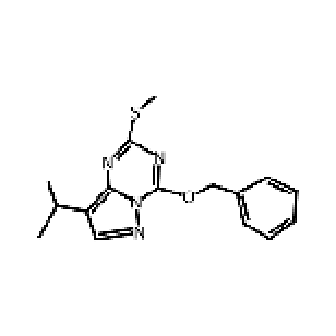 CSc1nc(OCc2ccccc2)n2ncc(C(C)C)c2n1